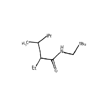 CCC(C(=O)NCC(C)(C)C)C(C)C(C)C